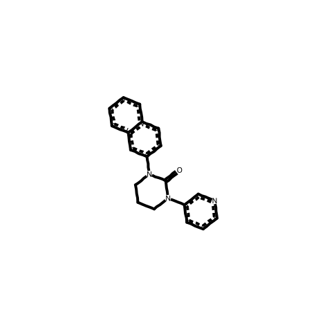 O=C1N(c2cccnc2)CCCN1c1ccc2ccccc2c1